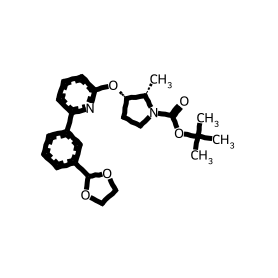 C[C@H]1[C@@H](Oc2cccc(-c3cccc(C4OCCO4)c3)n2)CCN1C(=O)OC(C)(C)C